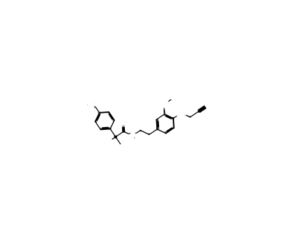 C#CCOc1ccc(CCNC(=O)C(C)(O)c2ccc(Cl)cc2)cc1OC